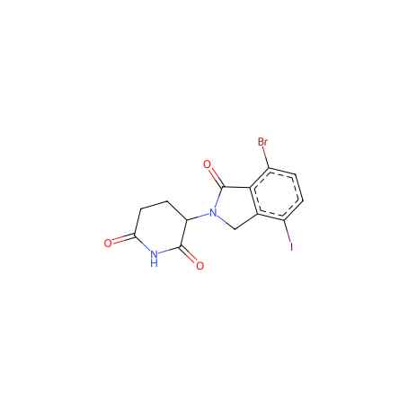 O=C1CCC(N2Cc3c(I)ccc(Br)c3C2=O)C(=O)N1